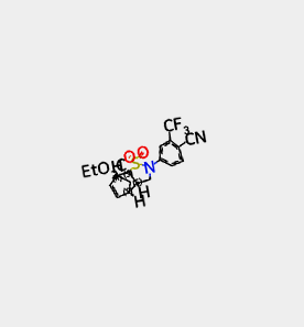 CCOC(=O)[C@]12[C@H](CN(c3ccc(C#N)c(C(F)(F)F)c3)S1(=O)=O)[C@@H]1C=C[C@H]2C1